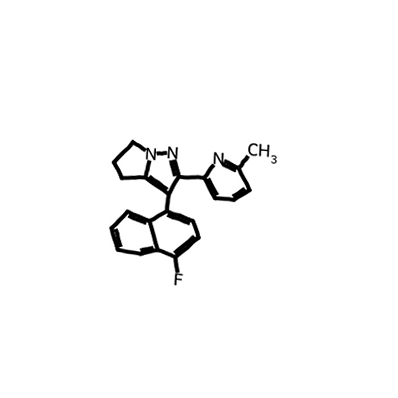 Cc1cccc(-c2nn3c(c2-c2ccc(F)c4ccccc24)CCC3)n1